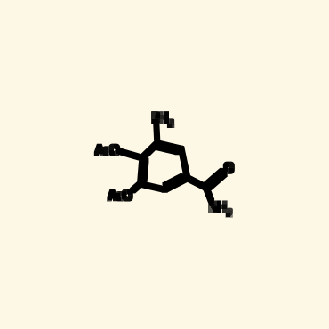 Bc1cc(C(N)=O)cc(OC(C)=O)c1OC(C)=O